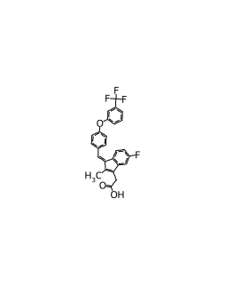 CC1=C(CC(=O)O)c2cc(F)ccc2/C1=C\c1ccc(Oc2cccc(C(F)(F)F)c2)cc1